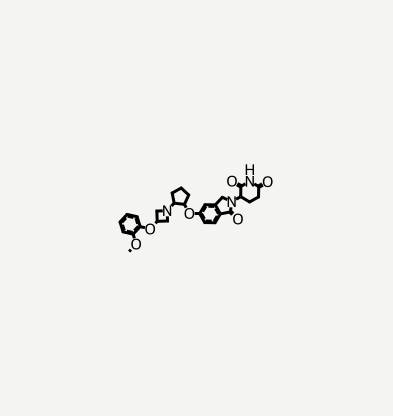 COc1ccccc1OC1CN(C2CCCC2Oc2ccc3c(c2)CN(C2CCC(=O)NC2=O)C3=O)C1